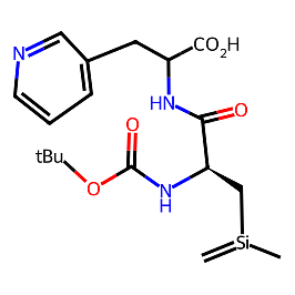 C=[Si](C)C[C@@H](NC(=O)OC(C)(C)C)C(=O)NC(Cc1cccnc1)C(=O)O